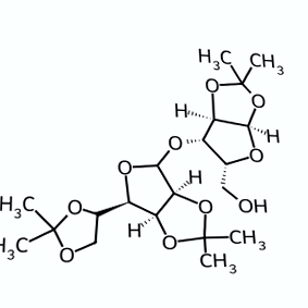 CC1(C)OCC([C@H]2OC(O[C@@H]3[C@H]4OC(C)(C)O[C@H]4O[C@@H]3CO)[C@H]3OC(C)(C)O[C@@H]23)O1